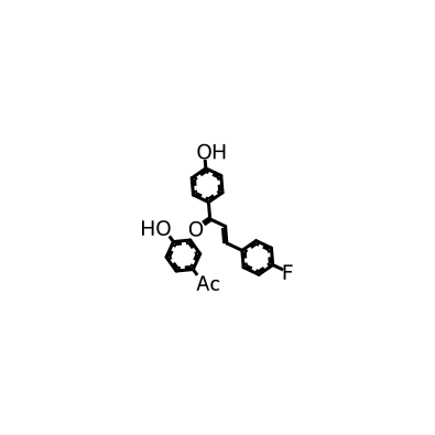 CC(=O)c1ccc(O)cc1.O=C(C=Cc1ccc(F)cc1)c1ccc(O)cc1